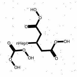 CCCCCCCC(CC(=O)OO)CC(=O)OO.O=C(OO)OO